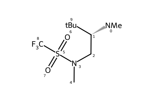 CN[C@H](CN(C)S(=O)(=O)C(F)(F)F)C(C)(C)C